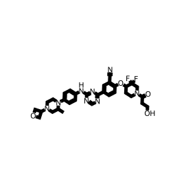 CC1CN(C2COC2)CCN1c1ccc(Nc2ncnc(-c3ccc(OC4CCN(C(=O)CCO)CC4(F)F)c(C#N)c3)n2)cc1